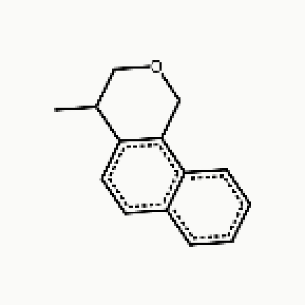 CC1COCc2c1ccc1ccccc21